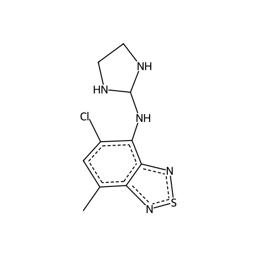 Cc1cc(Cl)c(NC2NCCN2)c2nsnc12